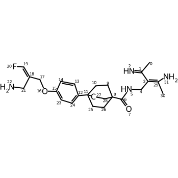 CC(=N)/C(CNC(=O)C12CCC(c3ccc(OC/C(=C/F)CN)cc3)(CC1)CC2)=C(/C)N